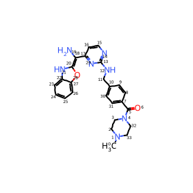 CN1CCN(C(=O)c2ccc(CNc3nccc(/C(N)=C4/Nc5ccccc5O4)n3)cc2)CC1